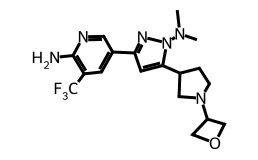 CN(C)n1nc(-c2cnc(N)c(C(F)(F)F)c2)cc1C1CCN(C2COC2)C1